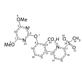 COc1cc(OC)nc(Oc2cccc(-c3cccc(S(C)(=O)=O)n3)c2C(=O)O)n1